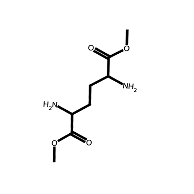 COC(=O)C(N)CCC(N)C(=O)OC